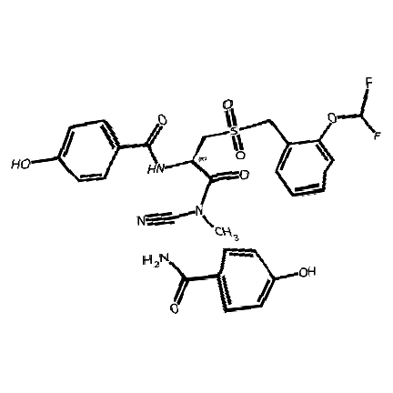 CN(C#N)C(=O)[C@H](CS(=O)(=O)Cc1ccccc1OC(F)F)NC(=O)c1ccc(O)cc1.NC(=O)c1ccc(O)cc1